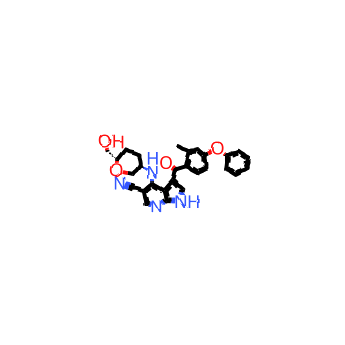 Cc1cc(Oc2ccccc2)ccc1C(=O)c1c[nH]c2ncc(C#N)c(N[C@@H]3CC[C@@H](CO)OC3)c12